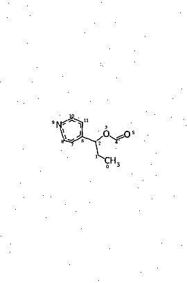 CCC(O[C]=O)c1ccncc1